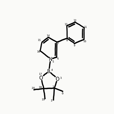 CC1(C)OB(N2C=C(c3ccccc3)C=CC2)OC1(C)C